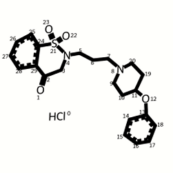 Cl.O=C1CN(CCCN2CCC(Oc3ccccc3)CC2)S(=O)(=O)c2ccccc21